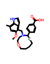 COc1cc(C)c2[nH]ccc2c1CN1CCOCCCCCC1c1ccc(C(=O)O)cc1